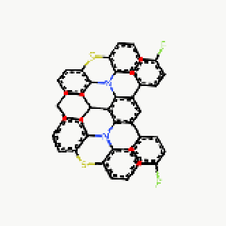 Fc1ccc(-c2cc(-c3ccc(F)cc3)c(N3c4ccccc4Sc4ccccc43)c(C3CCCCC3)c2N2c3ccccc3Sc3ccccc32)cc1